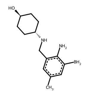 Bc1cc(C)cc(CN[C@H]2CC[C@H](O)CC2)c1N